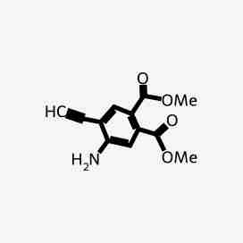 C#Cc1cc(C(=O)OC)c(C(=O)OC)cc1N